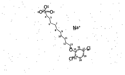 O=S(=O)([O-])CCCCCCCCCCOc1cc(Cl)ccc1Cl.[Na+]